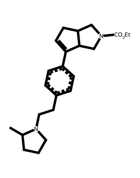 CCOC(=O)N1CC2CC=C(c3ccc(CCN4CCCC4C)cc3)C2C1